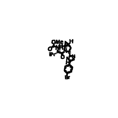 COC(=O)N[C@H](C(=O)N1[C@@H]2C[C@@H]2C[C@H]1c1ncc(-c2ccc(Br)cc2)[nH]1)C(C)C